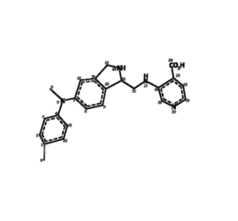 Cc1ccc(N(C)c2ccc3c(c2)CNC3CNc2cnccc2C(=O)O)cc1